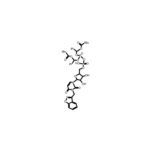 CC(C)C(OC(=O)C(C)(C)C)OP(=O)(OC(OC(=O)C(C)(C)C)C(C)C)OP(=O)(O)OCC1OC(n2ccc(=O)n(Cc3noc4ccccc34)c2=O)C(O)C1O